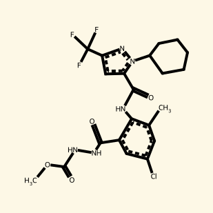 COC(=O)NNC(=O)c1cc(Cl)cc(C)c1NC(=O)c1cc(C(F)(F)F)nn1C1CCCCC1